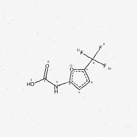 O=C(O)Nc1ccc(C(F)(F)F)o1